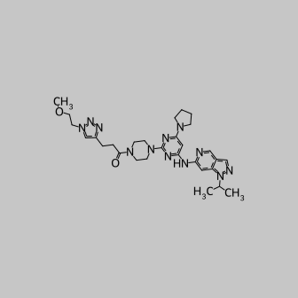 COCCn1cc(CCC(=O)N2CCN(c3nc(Nc4cc5c(cn4)cnn5C(C)C)cc(N4CCCC4)n3)CC2)nn1